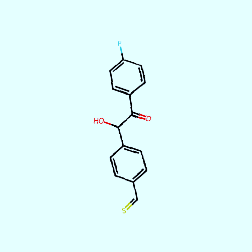 O=C(c1ccc(F)cc1)C(O)c1ccc(C=S)cc1